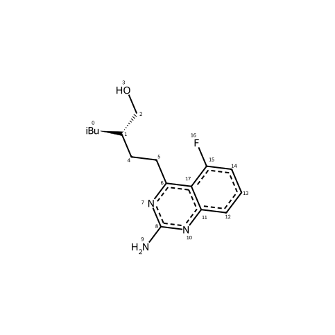 CC[C@H](C)[C@H](CO)CCc1nc(N)nc2cccc(F)c12